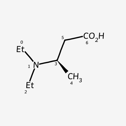 CCN(CC)[C@H](C)CC(=O)O